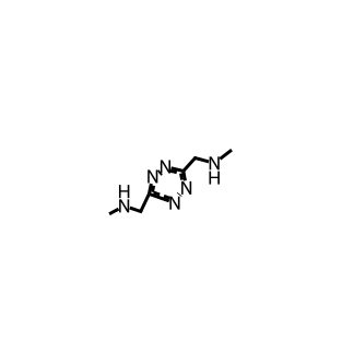 CNCc1nnc(CNC)nn1